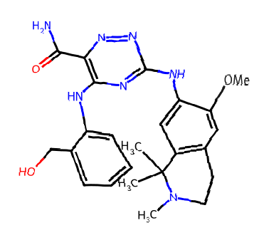 COc1cc2c(cc1Nc1nnc(C(N)=O)c(Nc3ccccc3CO)n1)C(C)(C)N(C)CC2